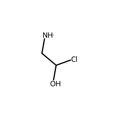 [NH]CC(O)Cl